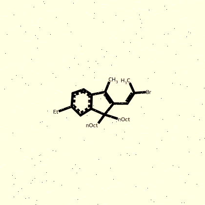 CCCCCCCCC1(CCCCCCCC)C(/C=C(\C)Br)=C(C)c2ccc(CC)cc21